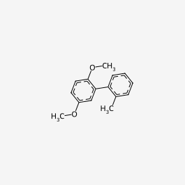 COc1ccc(OC)c(-c2ccccc2C)c1